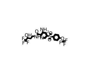 Nc1cc(S(=O)(=O)c2ccc(OC(F)(F)F)cc2)cnc1C(=O)NCCC(O)C(F)(F)F